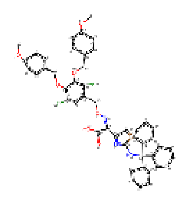 COc1ccc(COc2c(F)cc(CON=C(C(=O)O)c3csc(NC(c4ccccc4)(c4ccccc4)c4ccccc4)n3)c(F)c2OCc2ccc(OC)cc2)cc1